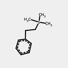 CS(C)(C)CCc1ccccc1